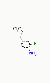 Nc1ccc(SCC(Cl)(Cl)Cl)cc1F